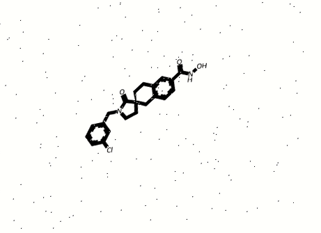 O=C(NO)c1ccc2c(c1)CC[C@]1(CCN(Cc3cccc(Cl)c3)C1=O)C2